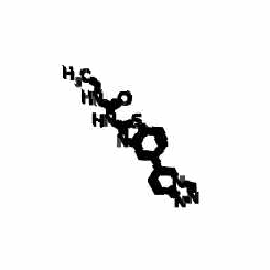 CCNC(=O)Nc1nc2cc(-c3ccc4nncn4c3)ccc2s1